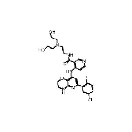 O=C(NCCN(CCO)CCO)c1cnccc1Nc1cc(-c2cc(Cl)ccc2F)nc2c1OCCN2